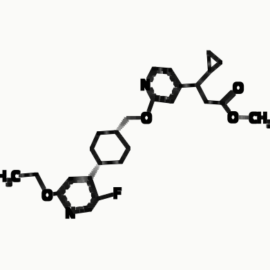 CCOc1cc([C@H]2CC[C@@H](COc3cc(C(CC(=O)OC)C4CC4)ccn3)CC2)c(F)cn1